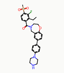 CCc1c(C(=O)N2CCOc3ccc(-c4ccc(N5CCNCC5)cc4)cc3C2)ccc(S(C)(=O)=O)c1F